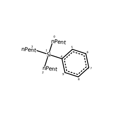 CCCCC[Si](CCCCC)(CCCCC)c1cc[c]cc1